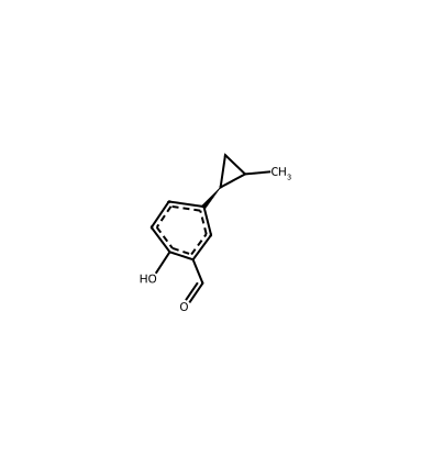 CC1C[C@@H]1c1ccc(O)c(C=O)c1